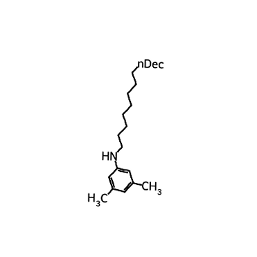 CCCCCCCCCCCCCCCCCCNc1cc(C)cc(C)c1